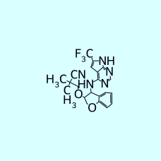 CC(C)(C#N)COC1COc2ccccc2C1Nc1ncnc2[nH]c(C(F)(F)F)cc12